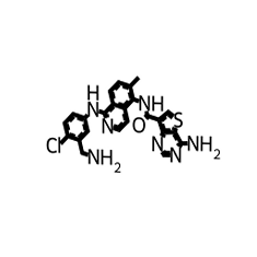 Cc1ccc2c(Nc3ccc(Cl)c(CN)c3)nccc2c1NC(=O)c1csc2c(N)ncnc12